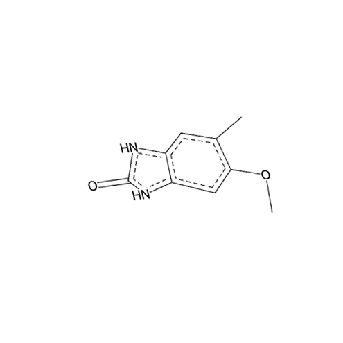 COc1cc2[nH]c(=O)[nH]c2cc1C